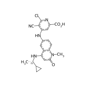 C[C@H](Nc1cc(=O)n(C)c2ccc(Nc3cc(C(=O)O)nc(Cl)c3C#N)cc12)C1CC1